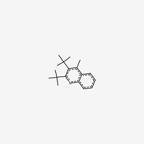 Cc1c(C(C)(C)C)c(C(C)(C)C)nc2ccccc12